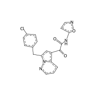 O=C(Nc1ccno1)C(=O)c1cc(Cc2ccc(Cl)cc2)n2ncccc12